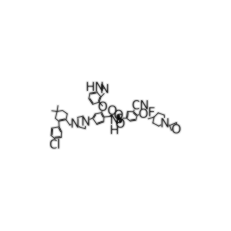 CC1(C)CCC(CN2CCN(c3ccc(C(=O)NS(=O)(=O)c4ccc(OCC5(F)CCN(C6COC6)CC5)c(C#N)c4)c(Oc4cccc5[nH]ncc45)c3)CC2)=C(c2ccc(Cl)cc2)C1